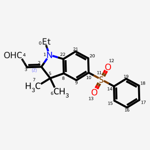 CCN1/C(=C\C=O)C(C)(C)c2cc(S(=O)(=O)c3ccccc3)ccc21